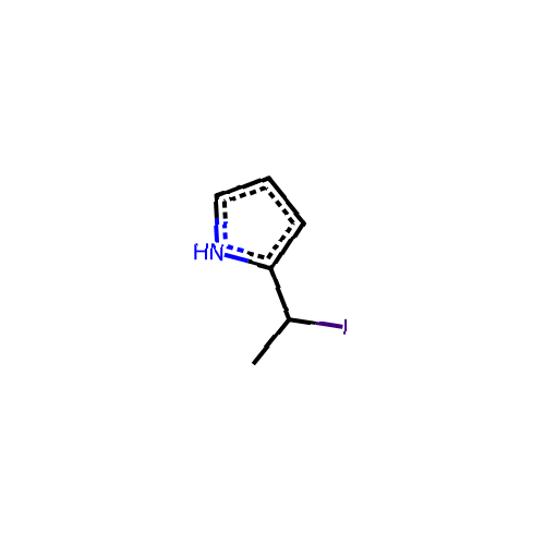 CC(I)c1ccc[nH]1